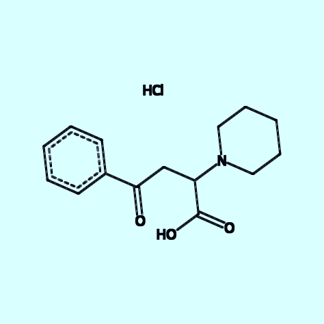 Cl.O=C(CC(C(=O)O)N1CCCCC1)c1ccccc1